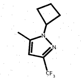 Cc1cc(C(F)(F)F)nn1C1CCC1